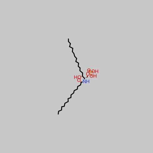 CCCCCCCCCCCCCCCC(=O)N[C@@H](COP(=O)(O)O)[C@H](O)CCCCCCCCCCCCCCC